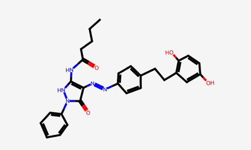 CCCCC(=O)Nc1[nH]n(-c2ccccc2)c(=O)c1N=Nc1ccc(CCc2cc(O)ccc2O)cc1